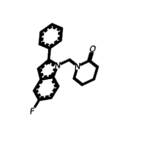 O=C1CCCCN1Cn1c(-c2ccccc2)cc2cc(F)ccc21